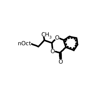 CCCCCCCCCC(C)C1OC(=O)c2ccccc2O1